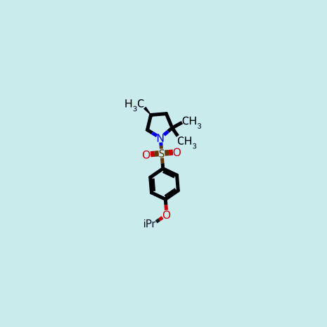 CC(C)Oc1ccc(S(=O)(=O)N2C[C@@H](C)CC2(C)C)cc1